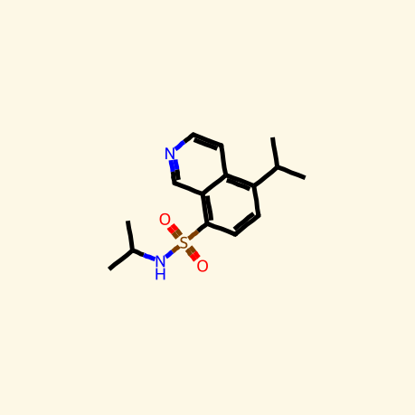 CC(C)NS(=O)(=O)c1ccc(C(C)C)c2ccncc12